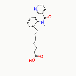 CN(C(=O)c1cccnc1)c1ccccc1CCCCCCC(=O)O